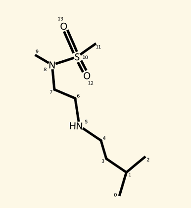 CC(C)CCNCCN(C)S(C)(=O)=O